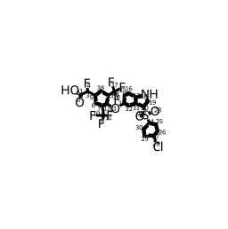 O=C(O)C(F)c1cc(C(F)(F)F)c(Oc2ccc3[nH]cc(S(=O)(=O)c4ccc(Cl)cc4)c3c2)c(C(F)(F)F)c1